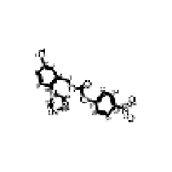 O=C(OCc1cc(Cl)ccc1-n1cnnn1)Oc1ccc([N+](=O)[O-])cc1